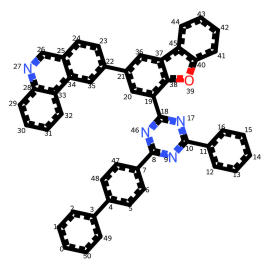 c1ccc(-c2ccc(-c3nc(-c4ccccc4)nc(-c4cc(-c5ccc6cnc7ccccc7c6c5)cc5c4oc4ccccc45)n3)cc2)cc1